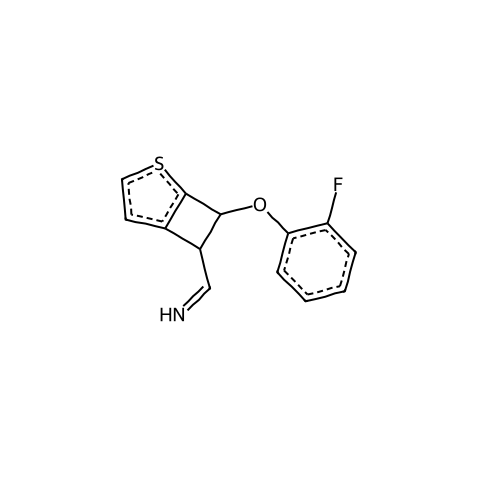 N=CC1c2ccsc2C1Oc1ccccc1F